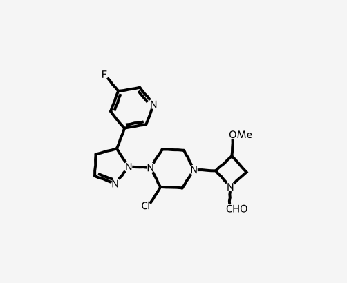 COC1CN(C=O)C1N1CCN(N2N=CCC2c2cncc(F)c2)C(Cl)C1